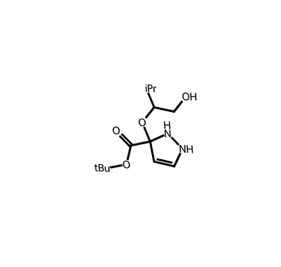 CC(C)C(CO)OC1(C(=O)OC(C)(C)C)C=CNN1